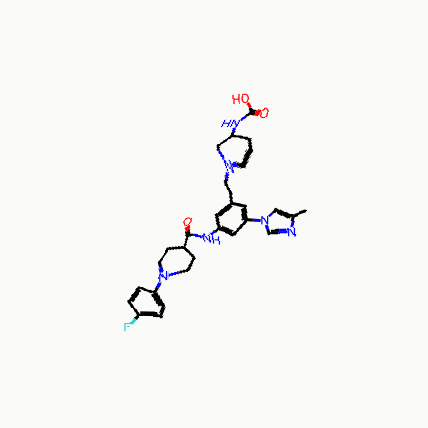 Cc1cn(-c2cc(CN3CCCC(NC(=O)O)C3)cc(NC(=O)C3CCN(c4ccc(F)cc4)CC3)c2)cn1